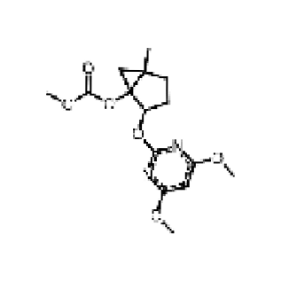 COC(=O)OC12CC1(C)CCC2Oc1nc(OC)cc(OC)n1